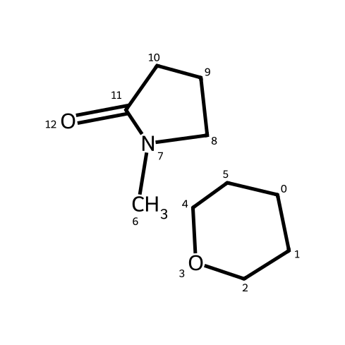 C1CCOCC1.CN1CCCC1=O